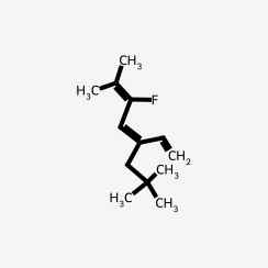 C=C/C(=C\C(F)=C(C)C)CC(C)(C)C